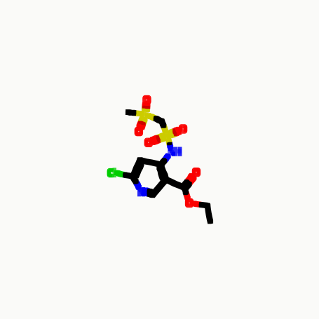 CCOC(=O)c1cnc(Cl)cc1NS(=O)(=O)CS(C)(=O)=O